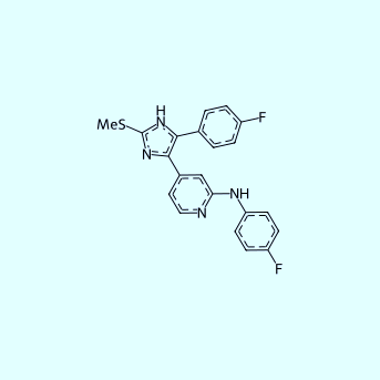 CSc1nc(-c2ccnc(Nc3ccc(F)cc3)c2)c(-c2ccc(F)cc2)[nH]1